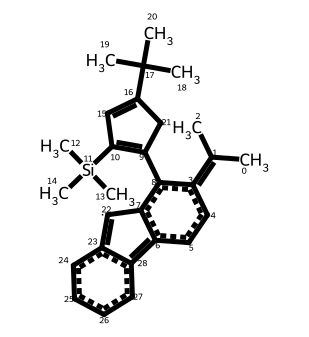 CC(C)=c1ccc2c(c1C1=C([Si](C)(C)C)C=C(C(C)(C)C)C1)[C]=c1ccccc1=2